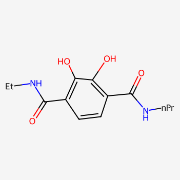 CCCNC(=O)c1ccc(C(=O)NCC)c(O)c1O